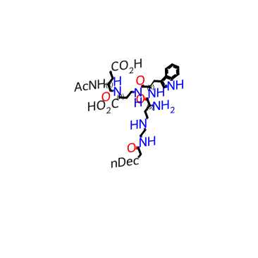 CCCCCCCCCCCC(=O)NCCNCC[C@H](N)C(=O)N[C@H](Cc1c[nH]c2ccccc12)C(=O)NCC[C@@H](NC(=O)[C@@H](CCC(=O)O)NC(C)=O)C(=O)O